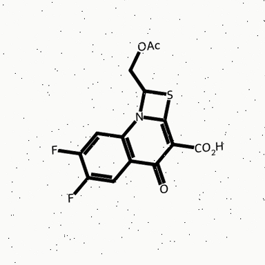 CC(=O)OCC1Sc2c(C(=O)O)c(=O)c3cc(F)c(F)cc3n21